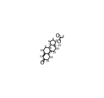 CC(=O)O[C@H]1CCC2C3CCC4=CC(=O)CCC4C3CC[C@@]21C